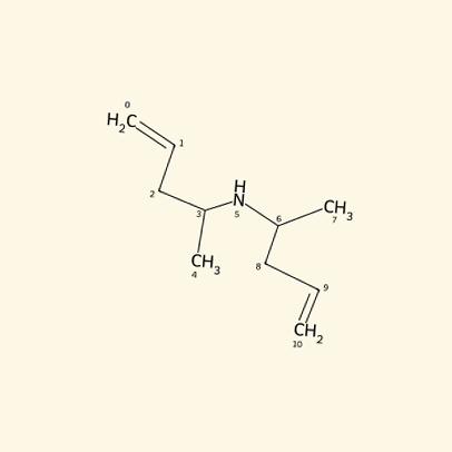 C=CCC(C)NC(C)CC=C